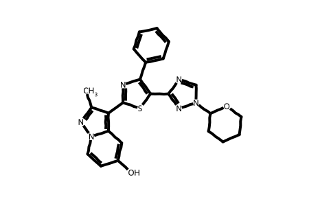 Cc1nn2ccc(O)cc2c1-c1nc(-c2ccccc2)c(-c2ncn(C3CCCCO3)n2)s1